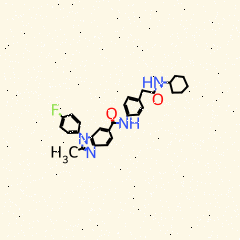 Cc1nc2ccc(C(=O)Nc3ccc(CC(=O)NC4CCCCC4)cc3)cc2n1-c1ccc(F)cc1